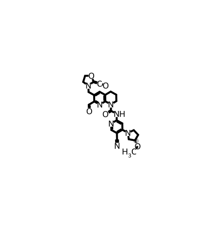 CO[C@@H]1CCN(c2cc(NC(=O)N3CCCc4cc(CN5CCOC5=C=O)c(C=O)nc43)ncc2C#N)C1